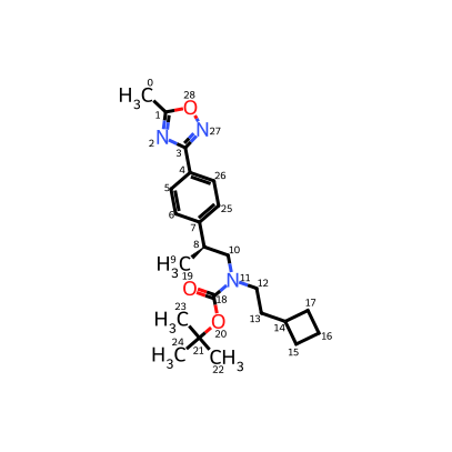 Cc1nc(-c2ccc([C@H](C)CN(CCC3CCC3)C(=O)OC(C)(C)C)cc2)no1